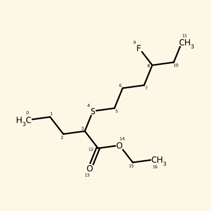 CCCC(SCCCC(F)CC)C(=O)OCC